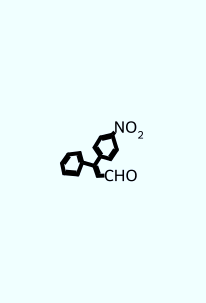 O=CC=C(c1ccccc1)c1ccc([N+](=O)[O-])cc1